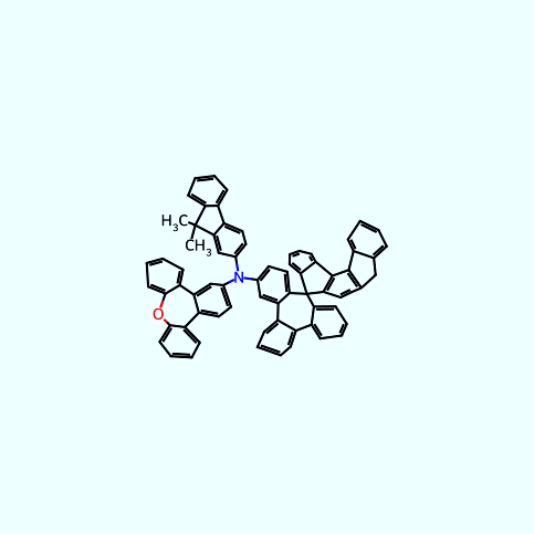 CC1(C)c2ccccc2-c2ccc(N(c3ccc4c(c3)-c3ccccc3Oc3ccccc3-4)c3ccc4c(c3)-c3ccccc3-c3ccccc3C43c4ccccc4-c4c3ccc3c4-c4ccccc4C3)cc21